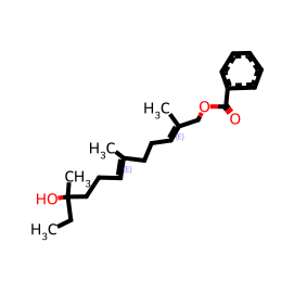 CCC(C)(O)CC/C=C(\C)CC/C=C(\C)COC(=O)c1ccccc1